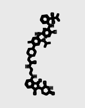 Cc1cc(Nc2ncc(Cl)c(Nc3ccccc3S(=O)(=O)C(C)C)n2)c(OC(C)C)cc1C1CCN(CC(=O)NCCNc2cccc3c2C(=O)N(C2CCC(=O)NC2=O)C3=O)CC1